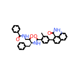 Cc1cc(-c2ccc3ccccc3c2C(N)=O)ccc1C(=O)N[C@@H](Cc1ccccc1)C(=O)CNC(=O)c1ccccc1